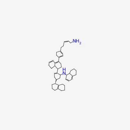 NC/C=C\CCC1=CC=C(C2=C3C=CCCC3C(C3=CCC([C@@H]4CCCC5=C4CCCC5)CC3NC3C=CC=C4CCCCC43)CC2)CC1